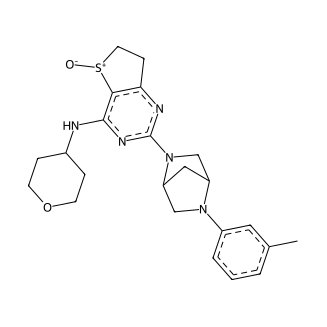 Cc1cccc(N2CC3CC2CN3c2nc3c(c(NC4CCOCC4)n2)[S+]([O-])CC3)c1